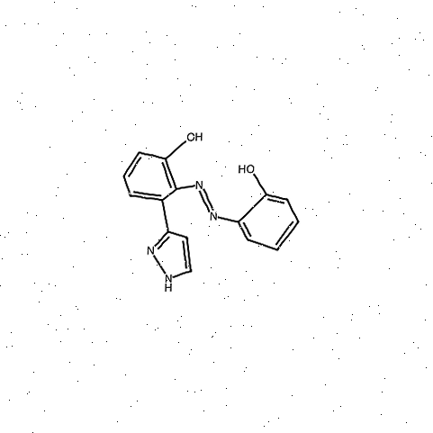 Oc1ccccc1N=Nc1c(O)cccc1-c1cc[nH]n1